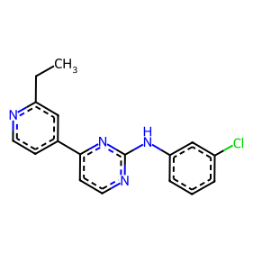 CCc1cc(-c2ccnc(Nc3cccc(Cl)c3)n2)ccn1